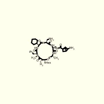 CCCCCC[C@H]1OC[C@@H](C)NC(=O)[C@H](CNC(=O)C23CC(N)C(C2)C3)NC(=O)[C@H](CN)NC(=O)[C@H](C2CCCCC2)NC(=O)[C@H](CC(C)C)N(C)C(=O)[C@@H]1C